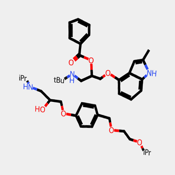 CC(C)NCC(O)COc1ccc(COCCOC(C)C)cc1.Cc1cc2c(OCC(CNC(C)(C)C)OC(=O)c3ccccc3)cccc2[nH]1